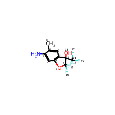 Cc1cc2c(cc1N)OC(F)(F)C2(O)C(F)(F)F